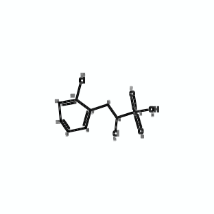 O=S(=O)(O)C(Cl)Cc1ccccc1Cl